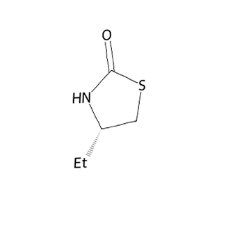 CC[C@H]1CSC(=O)N1